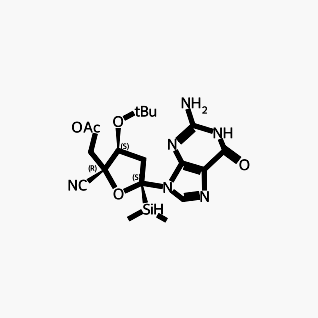 CC(=O)OC[C@@]1(C#N)O[C@](n2cnc3c(=O)[nH]c(N)nc32)([SiH](C)C)C[C@@H]1OC(C)(C)C